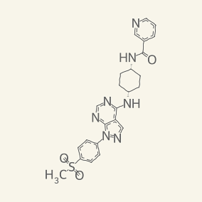 CS(=O)(=O)c1ccc(-n2ncc3c(N[C@H]4CC[C@@H](NC(=O)c5cccnc5)CC4)ncnc32)cc1